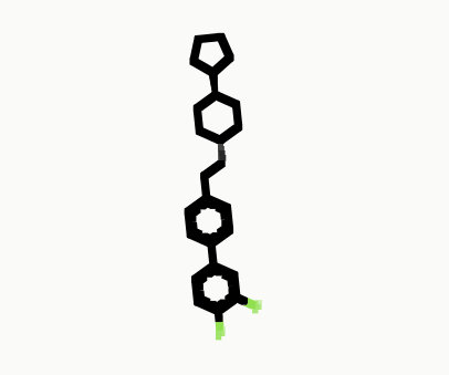 Fc1ccc(-c2ccc(CC[C@H]3CC[C@H](C4CCCC4)CC3)cc2)cc1F